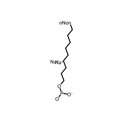 CCCCCCCCCCCCCCCCCCOP([O-])[O-].[Na+].[Na+]